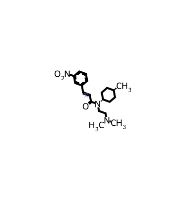 CN(C)CCN(C(=O)/C=C/c1cccc([N+](=O)[O-])c1)[C@H]1CC[C@H](C)CC1